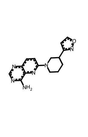 Nc1ncnc2ccc(N3CCCC(c4ccon4)C3)nc12